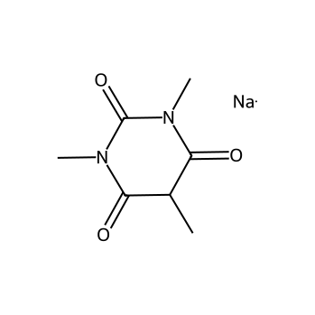 CC1C(=O)N(C)C(=O)N(C)C1=O.[Na]